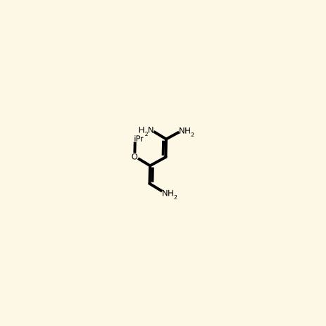 CC(C)O/C(C=C(N)N)=C/N